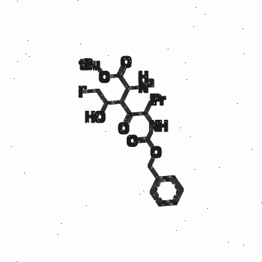 CC(C)C(NC(=O)OCc1ccccc1)C(=O)C(C(O)CF)C(N)C(=O)OC(C)(C)C